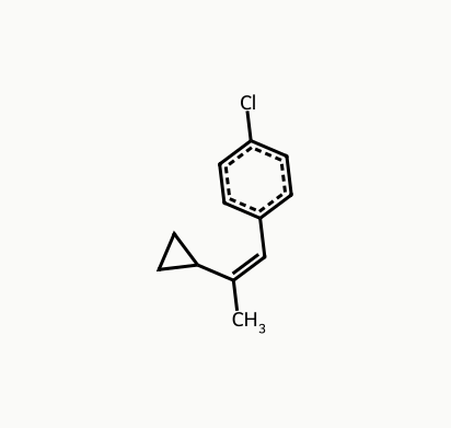 CC(=Cc1ccc(Cl)cc1)C1CC1